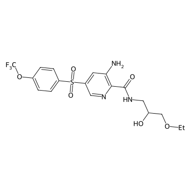 CCOCC(O)CNC(=O)c1ncc(S(=O)(=O)c2ccc(OC(F)(F)F)cc2)cc1N